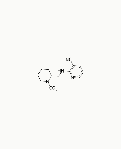 N#Cc1cccnc1NCC1CCCCN1C(=O)O